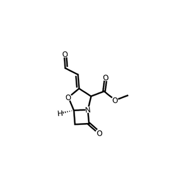 COC(=O)C1C(=CC=O)O[C@@H]2CC(=O)N12